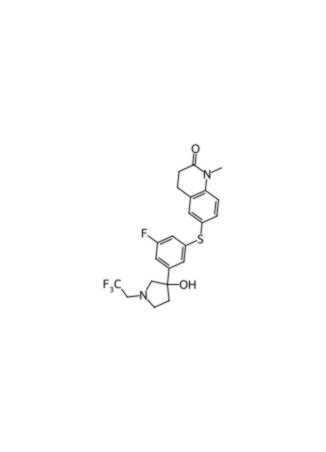 CN1C(=O)CCc2cc(Sc3cc(F)cc(C4(O)CCN(CC(F)(F)F)C4)c3)ccc21